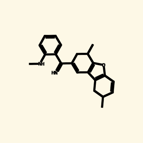 CNc1ccccc1C(=N)C1=Cc2c(oc3c2CC(C)C=C3)C(C)C1